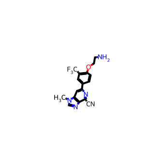 Cn1cnc2c(C#N)nc(-c3ccc(OCCN)c(C(F)(F)F)c3)cc21